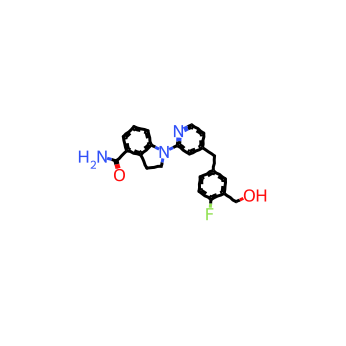 NC(=O)c1cccc2c1CCN2c1cc(Cc2ccc(F)c(CO)c2)ccn1